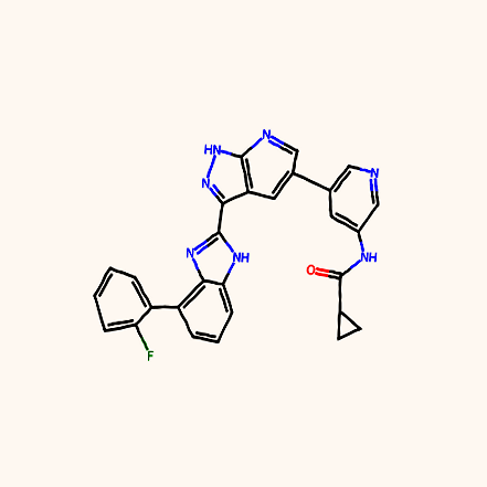 O=C(Nc1cncc(-c2cnc3[nH]nc(-c4nc5c(-c6ccccc6F)cccc5[nH]4)c3c2)c1)C1CC1